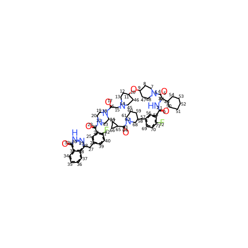 O=C(N[C@@H](C(=O)N1CCC(OC2CCN(CC(=O)N3CCN(C(=O)c4cc(Cc5n[nH]c(=O)c6ccccc56)ccc4F)CC3)CC2)CC1)C1CCCCC1)c1cc(C2CCCN(C(=O)C3CC3)C2)ccc1F